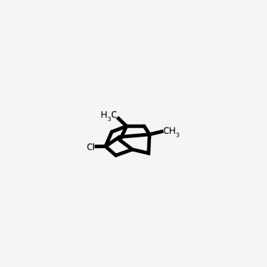 CC12CC3CC(C)(C1)CC(Cl)(C3)C2